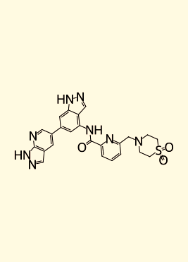 O=C(Nc1cc(-c2cnc3[nH]ncc3c2)cc2[nH]ncc12)c1cccc(CN2CCS(=O)(=O)CC2)n1